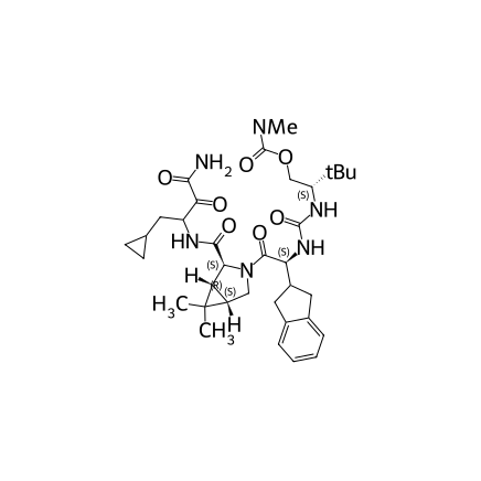 CNC(=O)OC[C@@H](NC(=O)N[C@H](C(=O)N1C[C@H]2[C@@H]([C@H]1C(=O)NC(CC1CC1)C(=O)C(N)=O)C2(C)C)C1Cc2ccccc2C1)C(C)(C)C